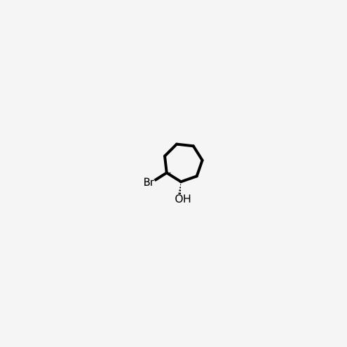 O[C@H]1CCCCC[C]1Br